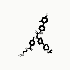 Cc1cc(Cl)ccc1-c1ccc(NC(=O)[C@@H](Cc2ccc(C(=O)NCCSO)cc2)c2ccc(C3=CC[C@@H](C(C)(C)C)CC3)cc2)cc1